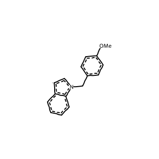 COc1ccc(Cn2c[c]c3ccccc32)cc1